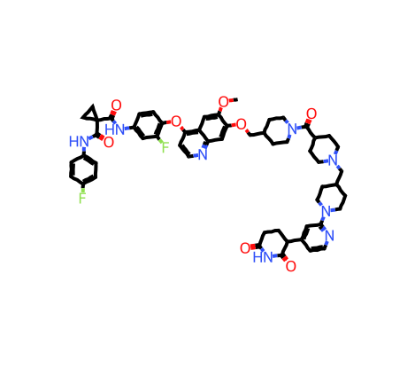 COc1cc2c(Oc3ccc(NC(=O)C4(C(=O)Nc5ccc(F)cc5)CC4)cc3F)ccnc2cc1OCC1CCN(C(=O)C2CCN(CC3CCN(c4cc(C5CCC(=O)NC5=O)ccn4)CC3)CC2)CC1